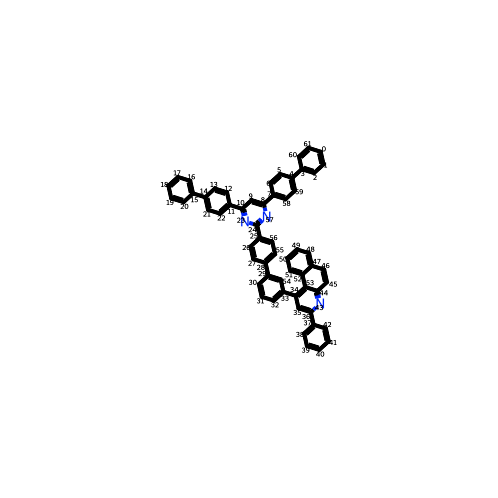 c1ccc(-c2ccc(-c3cc(-c4ccc(-c5ccccc5)cc4)nc(-c4ccc(-c5cccc(-c6cc(-c7ccccc7)nc7ccc8ccccc8c67)c5)cc4)n3)cc2)cc1